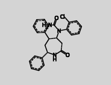 NC(=O)N(c1ccccc1Cl)C1CC(=O)NC(c2ccccc2)CC1c1ccccc1